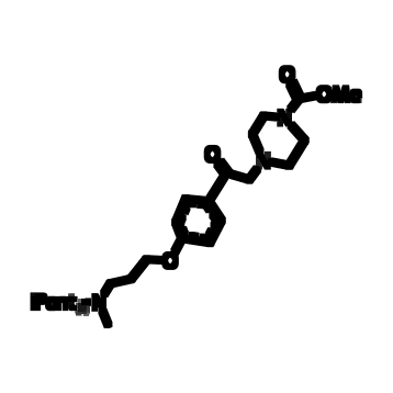 CCC[C@@H](C)N(C)CCCOc1ccc(C(=O)CN2CCN(C(=O)OC)CC2)cc1